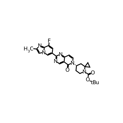 Cc1cn2cc(-c3ncc4c(=O)n([C@H]5CCN(C(=O)OC(C)(C)C)C6(CC6)C5)ccc4n3)cc(F)c2n1